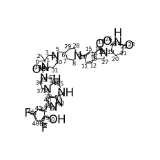 CC1(C)CN(CC2CCN(c3ccc4c(c3)C(=O)N([C@H]3CCC(=O)NC3=O)C4)CC2)CCN1C(=O)N1CCN2c3cc(-c4cc(F)cc(F)c4O)nnc3NC[C@H]2C1